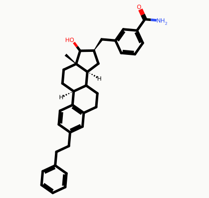 C[C@]12CC[C@@H]3c4ccc(CCc5ccccc5)cc4CCC3[C@@H]1C[C@H](Cc1cccc(C(N)=O)c1)C2O